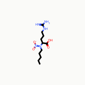 CCCCCN(C(CCCNC(=N)N)C(=O)O)[N+](=O)[O-]